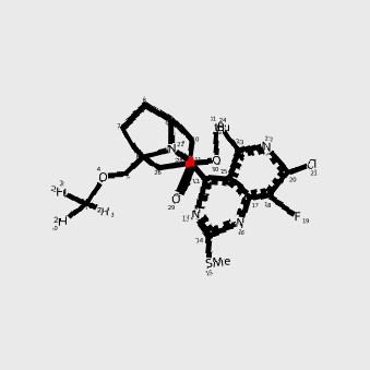 [2H]C([2H])([2H])OCC12CCC(CN(c3nc(SC)nc4c(F)c(Cl)nc(Cl)c34)C1)N2C(=O)OC(C)(C)C